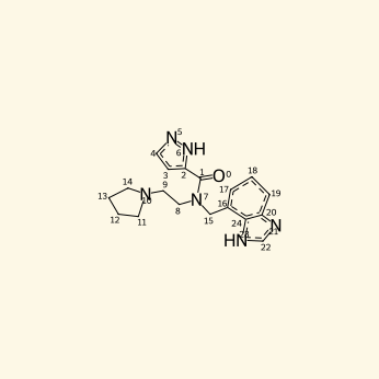 O=C(c1ccn[nH]1)N(CCN1CCCC1)Cc1cccc2nc[nH]c12